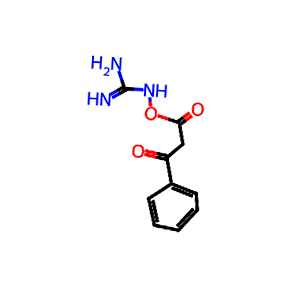 N=C(N)NOC(=O)CC(=O)c1ccccc1